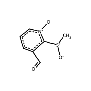 C[S+]([O-])c1c(C=O)ccc[n+]1[O-]